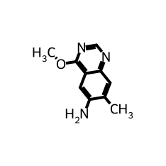 COc1ncnc2cc(C)c(N)cc12